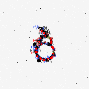 CC(C)[C@@H]1NC(=O)[C@H](Cc2c[nH]c3ccccc23)NC(=O)[C@@H]2CSCC(=O)N3CCC(CC3)N(C3CCN(CC3)C(=O)CSC[C@@H](C(N)=O)NC(=O)[C@@H]3CCCN3C(=O)[C@H](C(C)C)NC(=O)[C@H](Cc3c[nH]c4ccccc34)NC(=O)CNC(=O)[C@H](CC(=O)O)NC1=O)C1CCN(CC1)C(=O)CSC[C@H](NC(=O)[C@H](C)NC(C)(C)C(=O)CN(C)C(C)(C)C(=O)CCN)C(=O)N[C@@H]([C@@H](C)O)C(=O)N[C@@H](CCC(=O)O)C(=O)N2